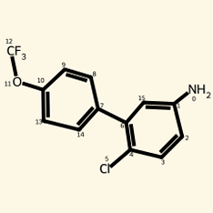 Nc1ccc(Cl)c(-c2ccc(OC(F)(F)F)cc2)c1